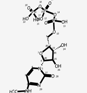 CNc1ccn([C@@H]2O[C@H](COP(=O)(O)OP(=O)(O)OP(=O)(O)O)[C@H](O)C2O)c(=O)n1